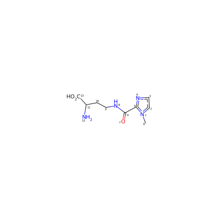 Cn1ccnc1C(=O)NCCC(N)C(=O)O